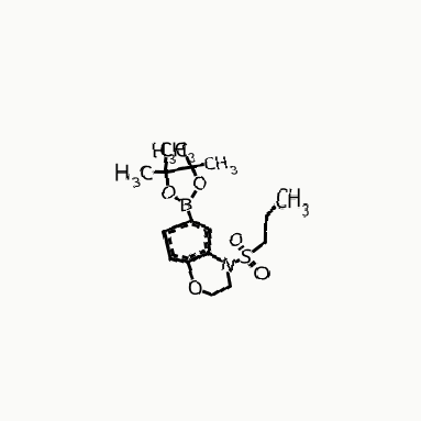 CCCS(=O)(=O)N1CCOc2ccc(B3OC(C)(C)C(C)(C)O3)cc21